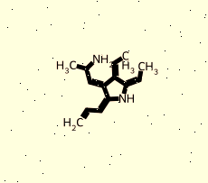 C=C/C=c1/[nH]c(=C/C)/c(=C\C)c1=CC(C)N